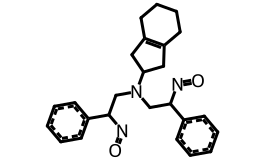 O=NC(CN(CC(N=O)c1ccccc1)C1CC2=C(CCCC2)C1)c1ccccc1